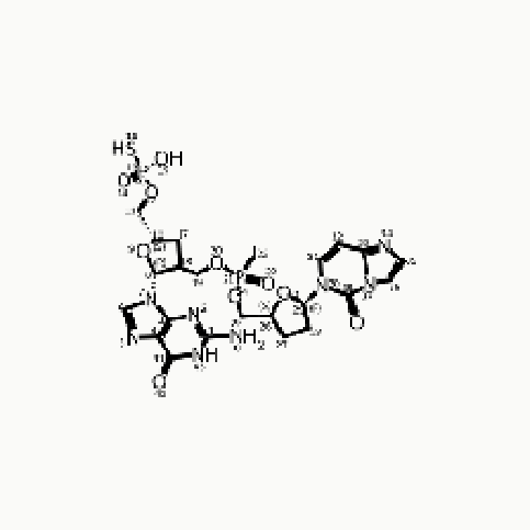 Nc1nc2c(ncn2[C@@H]2O[C@H](CO[P@](=O)(O)S)CC2COP(=O)(I)OC[C@@H]2CC[C@H](n3ccc4nccn4c3=O)O2)c(=O)[nH]1